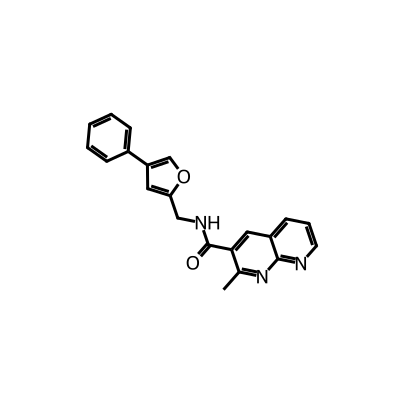 Cc1nc2ncccc2cc1C(=O)NCc1cc(-c2ccccc2)co1